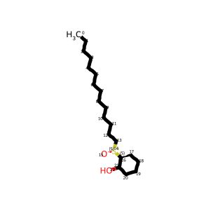 CCCCCCCCCCCCCC[S@@+]([O-])[C@H]1CCCCC1O